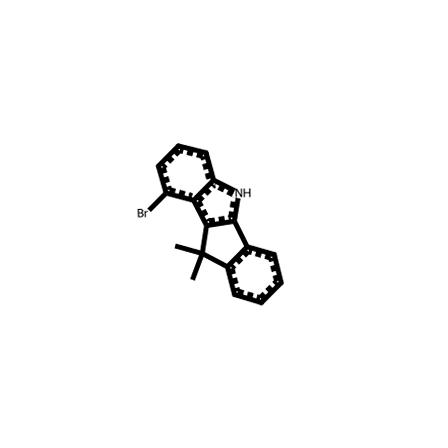 CC1(C)c2ccccc2-c2[nH]c3cccc(Br)c3c21